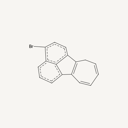 Brc1ccc2c3c(cccc13)C1=C2CC=CC=C1